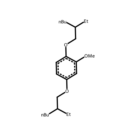 CCCCC(CC)COc1ccc(OCC(CC)CCCC)c(OC)c1